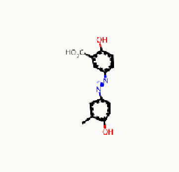 Cc1cc(/N=N/c2ccc(O)c(C(=O)O)c2)ccc1O